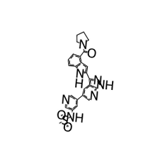 CS(=O)(=O)Nc1cncc(-c2cnc3[nH]nc(-c4cc5c(C(=O)N6CCCC6)cccc5[nH]4)c3c2)c1